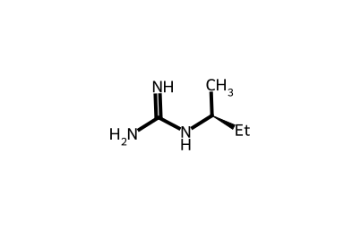 [CH2]C[C@H](C)NC(=N)N